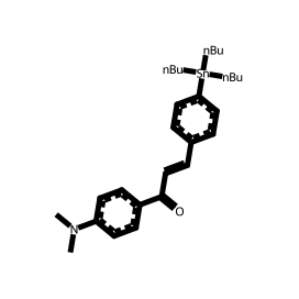 CCC[CH2][Sn]([CH2]CCC)([CH2]CCC)[c]1ccc(C=CC(=O)c2ccc(N(C)C)cc2)cc1